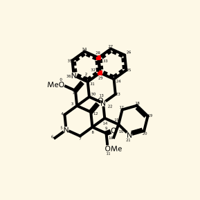 COC(=O)C12CN(C)CC(C(=O)OC)(C1=O)C(C1(C)CC=CC=N1)N(Cc1ccccn1)C2c1ccccn1